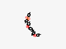 Cc1ccc(Oc2ccc(C(C)(C)c3ccc(Oc4ccc(C)c(-c5cc(S(=O)(=O)c6ccc(C)cc6)ccc5C)c4)cc3)cc2)cc1